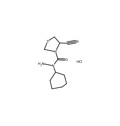 Cl.N#CC1CSCN1C(=O)N(N)C1CCCCC1